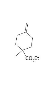 C=C1CCC(C)(C(=O)OCC)CC1